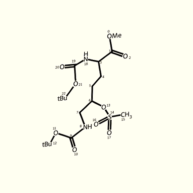 COC(=O)C(CCC(CNC(=O)OC(C)(C)C)OS(C)(=O)=O)NC(=O)OC(C)(C)C